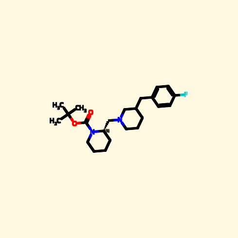 CC(C)(C)OC(=O)N1CCCC[C@H]1CN1CCCC(Cc2ccc(F)cc2)C1